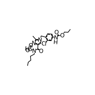 CCCCCN(C(=O)c1cn(Cc2ccc(NC(=O)OCCC)cc2Cl)c(C)n1)[SH](=O)=O